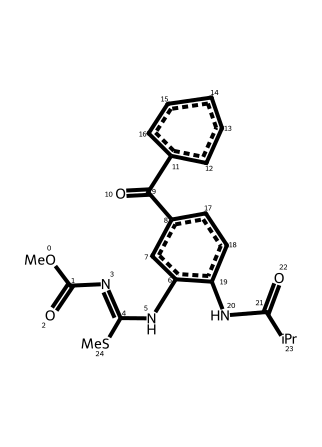 COC(=O)N=C(Nc1cc(C(=O)c2ccccc2)ccc1NC(=O)C(C)C)SC